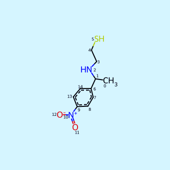 CC(NCCS)c1ccc([N+](=O)[O-])cc1